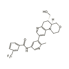 Cc1ncc(NC(=O)c2cccc(C(F)(F)F)c2)cc1-c1cnc2c(c1)N1CCOC[C@@H]1[C@@H](CO)C2